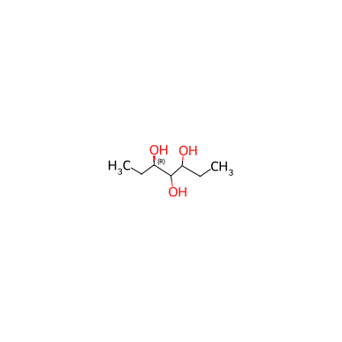 CCC(O)C(O)[C@H](O)CC